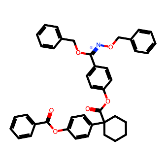 O=C(Oc1ccc(C2(C(=O)Oc3ccc(/C(=N\OCc4ccccc4)OCc4ccccc4)cc3)CCCCC2)cc1)c1ccccc1